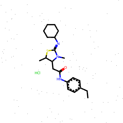 CCc1ccc(NC(=O)CC2C(C)S/C(=N\C3CCCCC3)N2C)cc1.Cl